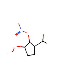 COC1CCC(C(C)O)C1O[N+](=O)[O-]